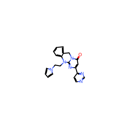 O=c1cc(-c2ccncn2)nc2n1Cc1ccccc1N2CCn1cccc1